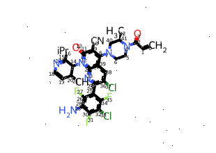 C=CC(=O)N1CCN(c2c(C#N)c(=O)n(C3C(C(C)C)=NC=CC3C)c3nc(-c4c(F)c(N)c(F)c(Cl)c4F)c(Cl)cc23)C[C@H]1C